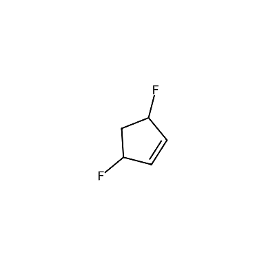 FC1C=CC(F)C1